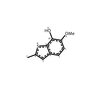 COc1ccc2cc(C)sc2c1O